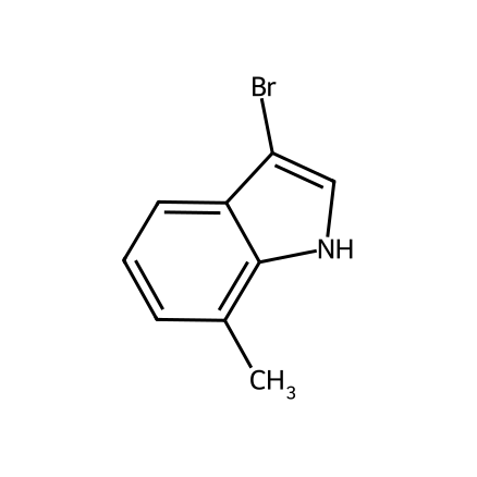 Cc1cccc2c(Br)c[nH]c12